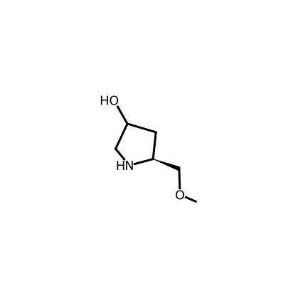 COC[C@@H]1CC(O)CN1